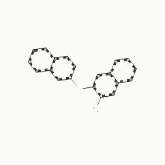 Nc1cc2ccccc2cc1Sc1ccc2ccccc2c1